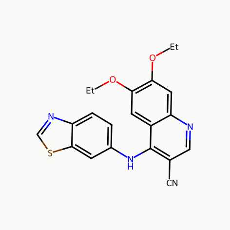 CCOc1cc2ncc(C#N)c(Nc3ccc4ncsc4c3)c2cc1OCC